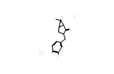 CCC1(C(=O)O)C2CC(Cc3ccc(OC)c(F)c3)C(=O)C21